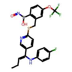 CC/C=C(\Nc1ccc(F)cc1)c1ccc(SCc2cc(OC(F)(F)F)ccc2B(O)N=O)nc1